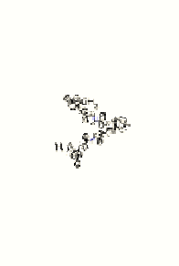 Cc1oc(=O)oc1COC(=O)/C=C/C(=O)OCC(COC(=O)/C=C/C(=O)OCc1oc(=O)oc1C)CN1CCOCC1